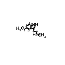 CCc1ccc2[nH]cc(CCNC)c2c1